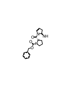 N=C1CC=CN1C(=O)[C@@H]1CCCN1C(=O)OCc1ccccc1